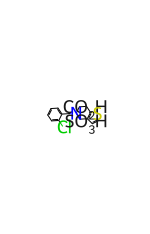 O=C(O)[C@](c1ccccc1Cl)(N1CCc2sccc2C1)S(=O)(=O)O